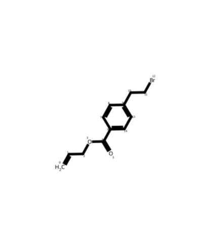 C=CCOC(=O)c1ccc(CCBr)cc1